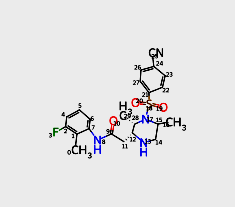 Cc1c(F)cccc1NC(=O)C[C@H]1NCC(C)N(S(=O)(=O)c2ccc(C#N)cc2)[C@H]1C